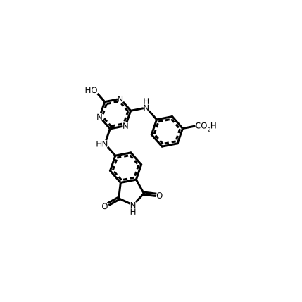 O=C(O)c1cccc(Nc2nc(O)nc(Nc3ccc4c(c3)C(=O)NC4=O)n2)c1